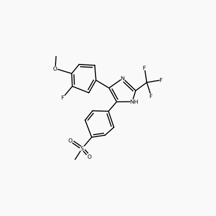 COc1ccc(-c2nc(C(F)(F)F)[nH]c2-c2ccc(S(C)(=O)=O)cc2)cc1F